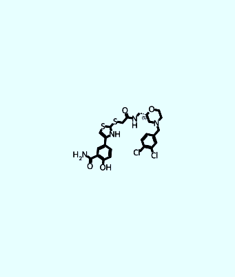 NC(=O)c1cc(C2=CSC(SCC(=O)NC[C@H]3CN(Cc4ccc(Cl)c(Cl)c4)CCO3)N2)ccc1O